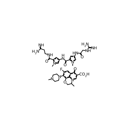 CC1COc2c(N3CCN(C)CC3)c(F)cc3c(=O)c(C(=O)O)cn1c23.Cn1cc(NC(=O)c2cc(NC(=O)CNC(=N)N)cn2C)cc1C(=O)NCCC(=N)N